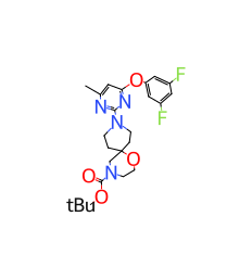 Cc1cc(Oc2cc(F)cc(F)c2)nc(N2CCC3(CC2)CN(C(=O)OC(C)(C)C)CCO3)n1